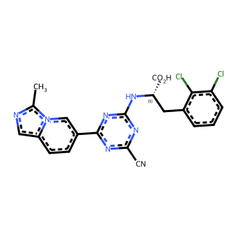 Cc1ncc2ccc(-c3nc(C#N)nc(N[C@@H](Cc4cccc(Cl)c4Cl)C(=O)O)n3)cn12